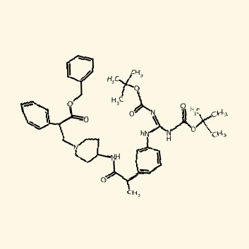 CC(C(=O)NC1CCN(CC(C(=O)OCc2ccccc2)c2ccccc2)CC1)c1cccc(N/C(=N\C(=O)OC(C)(C)C)NC(=O)OC(C)(C)C)c1